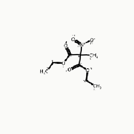 CCOC(=O)C(C)(C(=O)OCC)[N+](=O)[O-]